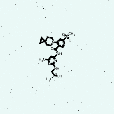 Cc1cc(NC(=O)c2ccc(S(C)(=O)=O)cc2N2CCC3(CC2)CC3)nc(NC[C@@H](C)O)n1